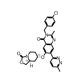 Cc1ccc(-c2cc3nc(C)n(Cc4ccc(Cl)cc4)c(=O)c3cc2O[C@H]2CCN3C(=O)OC[C@@H]3C2)nn1